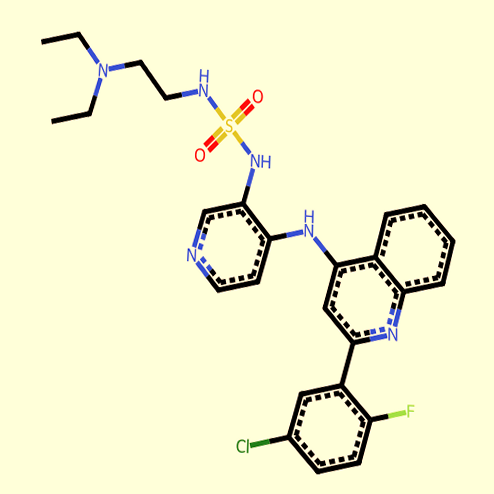 CCN(CC)CCNS(=O)(=O)Nc1cnccc1Nc1cc(-c2cc(Cl)ccc2F)nc2ccccc12